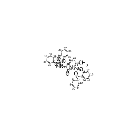 CC1=C(C(=O)OC(c2ccccc2)c2ccccc2)N2C(=O)C(NP(=O)(Oc3ccccc3)Oc3ccccc3)C2SC1